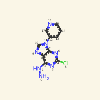 NNc1nc(Cl)nc2c1ncn2-c1cccnc1